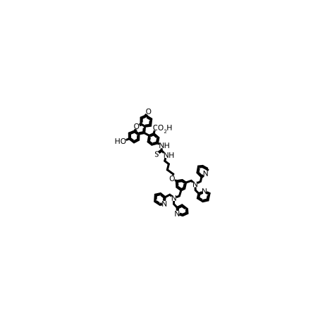 O=C(O)c1cc(NC(=S)NCCCCOc2cc(CN(Cc3ccccn3)Cc3ccccn3)cc(CN(Cc3ccccn3)Cc3ccccn3)c2)ccc1-c1c2ccc(=O)cc-2oc2cc(O)ccc12